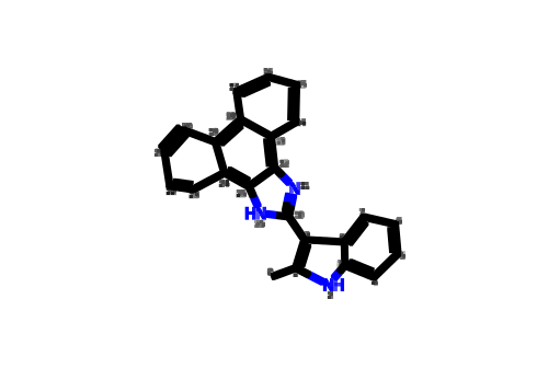 Cc1[nH]c2ccccc2c1-c1nc2c3ccccc3c3c#cccc3c2[nH]1